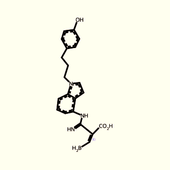 B/C=C(\C(=N)Nc1cccc2c1ccn2CCCc1ccc(O)cc1)C(=O)O